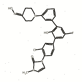 Cn1ccn(-c2ccc(-c3cc(F)cc(-c4cccc(N5CCC(=NO)CC5)c4)c3O)cc2Cl)c1=O